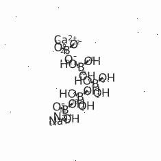 OB(O)O.OB(O)O.OB(O)O.[Ca+2].[Na+].[Na+].[O-]B(O)O.[O-]B([O-])[O-]